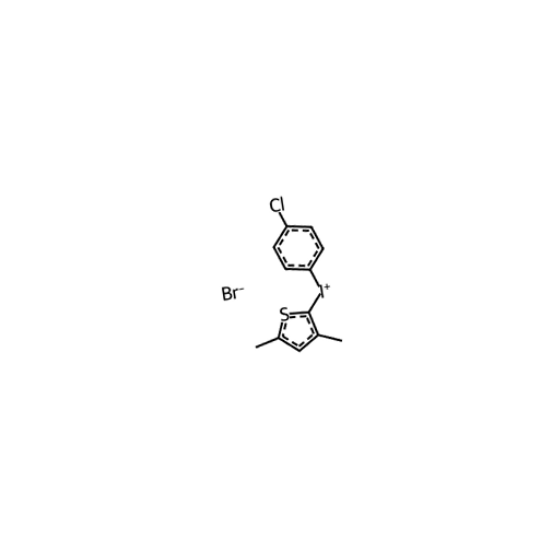 Cc1cc(C)c([I+]c2ccc(Cl)cc2)s1.[Br-]